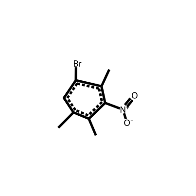 Cc1cc(Br)c(C)c([N+](=O)[O-])c1C